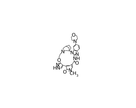 Cn1cc2cc(c1=O)-c1c[nH]nc1OCCN1CC3CCC(C3)(C1)n1c(nc3ccc(N4CCOCC4)cc31)NC2=O